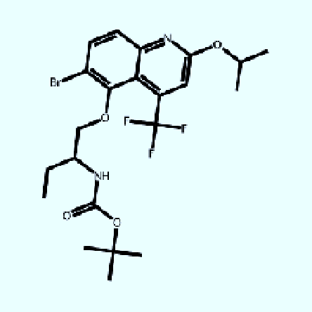 CCC(COc1c(Br)ccc2nc(OC(C)C)cc(C(F)(F)F)c12)NC(=O)OC(C)(C)C